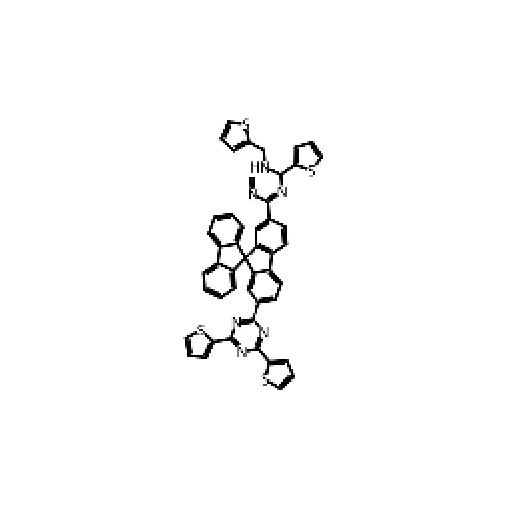 C=N/C(=N\C(NCc1cccs1)c1cccs1)c1ccc2c(c1)C1(c3ccccc3-c3ccccc31)c1cc(-c3nc(-c4cccs4)nc(-c4cccs4)n3)ccc1-2